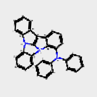 c1ccc(N(c2ccccc2)c2cccc3c4c5ccccc5n5c6ccccc6n(c23)c45)cc1